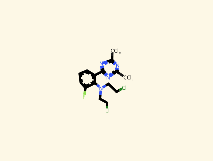 Fc1cccc(-c2nc(C(Cl)(Cl)Cl)nc(C(Cl)(Cl)Cl)n2)c1N(CCCl)CCCl